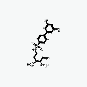 CC(C)C[C@@H](C(=O)O)N(CCNS(=O)(=O)c1ccc(-c2cc(Cl)cc(Cl)c2)cc1)C(=O)O